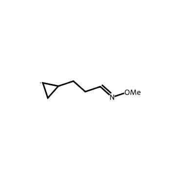 CON=CCCC1[CH]C1